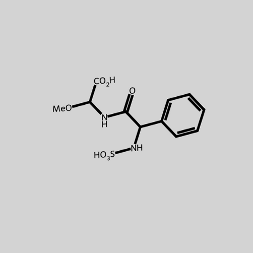 COC(NC(=O)C(NS(=O)(=O)O)c1ccccc1)C(=O)O